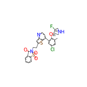 Cc1cc(Cl)cc(-c2ccnc3cc(CCN4C(=O)c5ccccc5S4(=O)=O)sc23)c1O[C@@H]1CNC[C@@H]1F